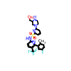 Cc1ccc(F)cc1-c1nc(NS(=O)(=O)c2cccc(N3CCNC(CO)C3)n2)ccc1C(F)(F)F